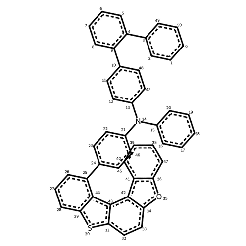 c1ccc(-c2ccccc2-c2ccc(N(c3ccccc3)c3ccc(-c4cccc5sc6ccc7oc8ccccc8c7c6c45)cc3)cc2)cc1